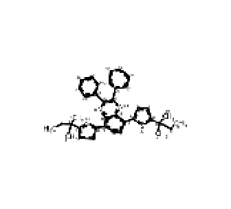 CCC(C)(C)c1ccc(-c2ccc(-c3ccc(C(C)(C)CC)s3)c3nc(-c4ccccc4)c(-c4ccccc4)nc23)s1